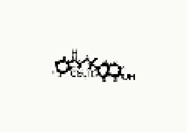 CC(C)(CC(=O)Nc1ccccc1C(=O)O)c1ccc2cc(O)ccc2c1